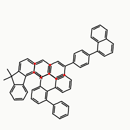 CC1(C)c2ccccc2-c2c(N(c3ccc(-c4ccc(-c5cccc6ccccc56)cc4)cc3)c3cccc(-c4ccccc4)c3-c3ccccc3-c3ccccc3)cccc21